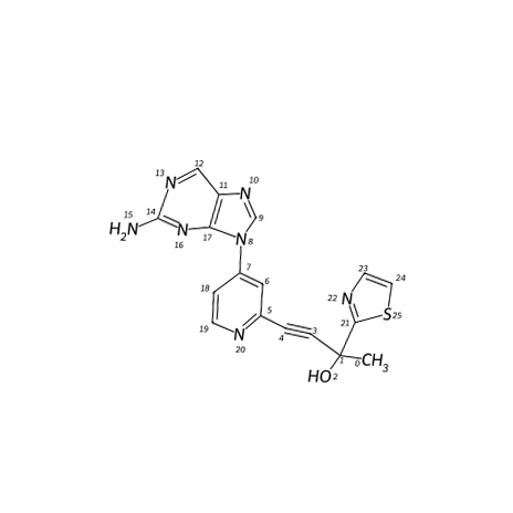 CC(O)(C#Cc1cc(-n2cnc3cnc(N)nc32)ccn1)c1nccs1